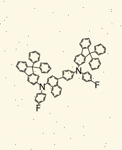 Fc1ccc(N(c2ccc(-c3ccc(N(c4ccc(F)cc4)c4ccc5c(c4)C(c4ccccc4)(c4ccccc4)c4ccccc4-5)c4ccccc34)cc2)c2ccc3c(c2)C(c2ccccc2)(c2ccccc2)c2ccccc2-3)cc1